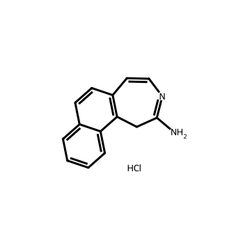 Cl.NC1=NC=Cc2ccc3ccccc3c2C1